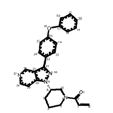 C=CC(=O)N1CCC[C@H](n2nc(-c3ccc(Oc4ccccc4)cc3)c3cnccc32)C1